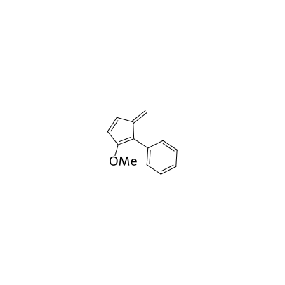 C=C1C=CC(OC)=C1c1ccccc1